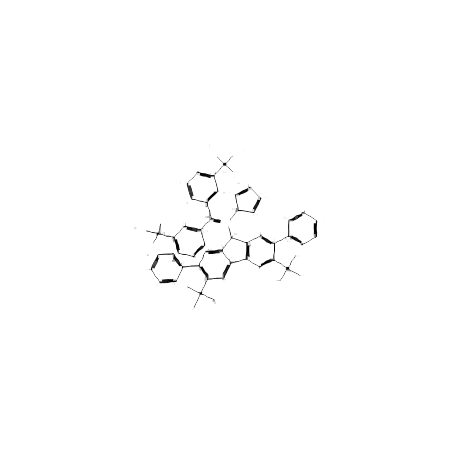 CC(C)(C)c1cc2c(cc1-c1ccccc1)[CH]([Zr](=[C](c1cccc(C(F)(F)F)c1)c1cccc(C(F)(F)F)c1)[CH]1C=CC=C1)c1cc(-c3ccccc3)c(C(C)(C)C)cc1-2